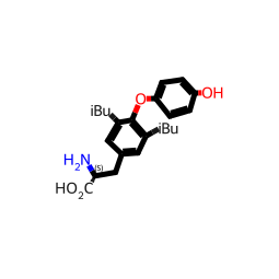 CCC(C)c1cc(C[C@H](N)C(=O)O)cc(C(C)CC)c1Oc1ccc(O)cc1